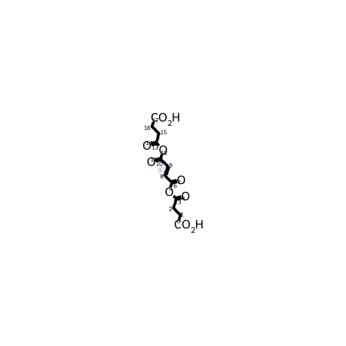 O=C(O)CCC(=O)OC(=O)/C=C/C(=O)OC(=O)CCC(=O)O